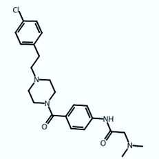 CN(C)CC(=O)Nc1ccc(C(=O)N2CCN(CCc3ccc(Cl)cc3)CC2)cc1